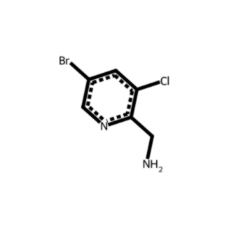 NCc1ncc(Br)cc1Cl